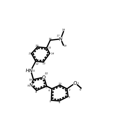 COc1cccc(-c2cnc(Nc3ccc(CN(C)C)cc3)o2)c1